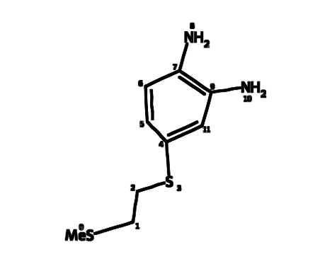 CSCCSc1ccc(N)c(N)c1